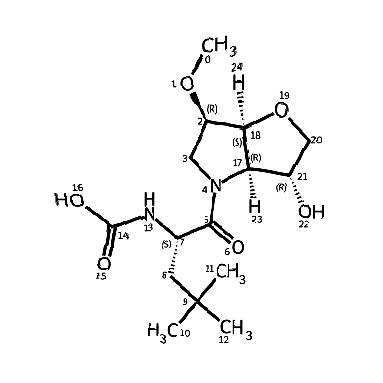 CO[C@@H]1CN(C(=O)[C@H](CC(C)(C)C)NC(=O)O)[C@H]2[C@@H]1OC[C@@H]2O